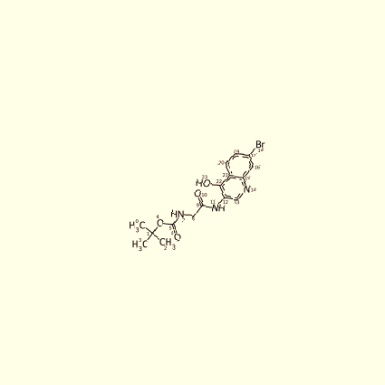 CC(C)(C)OC(=O)NCC(=O)Nc1cnc2cc(Br)ccc2c1O